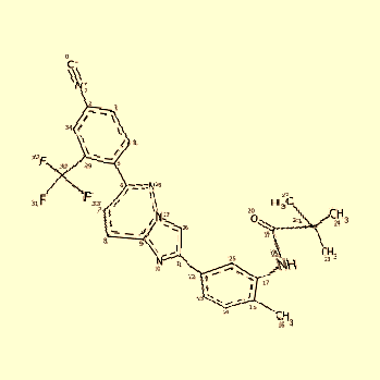 [C-]#[N+]c1ccc(-c2ccc3nc(-c4ccc(C)c(NC(=O)C(C)(C)C)c4)cn3n2)c(C(F)(F)F)c1